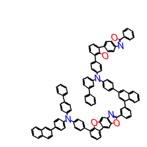 c1ccc(-c2ccc(N(c3ccc(-c4ccc5ccccc5c4)cc3)c3ccc(-c4cccc5c4oc4cc6nc(-c7cccc(-c8cc(-c9ccc(N(c%10ccc(-c%11cccc%12c%11oc%11cc%13nc(-c%14ccccc%14)oc%13cc%11%12)cc%10)c%10cccc(-c%11ccccc%11)c%10)cc9)cc9ccccc89)c7)oc6cc45)cc3)cc2)cc1